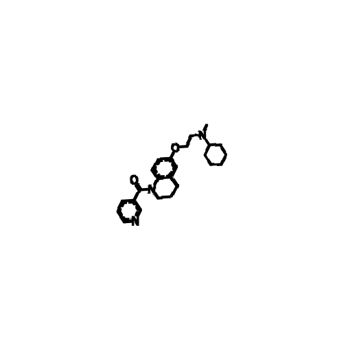 CN(CCOc1ccc2c(c1)CCCN2C(=O)c1cccnc1)C1CCCCC1